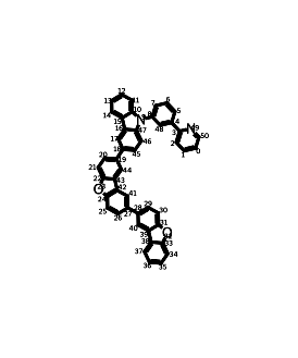 c1ccc(-c2cccc(-n3c4ccccc4c4cc(-c5ccc6oc7ccc(-c8ccc9oc%10ccccc%10c9c8)cc7c6c5)ccc43)c2)nc1